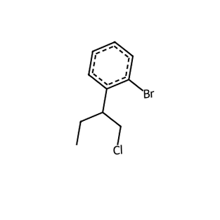 CCC(CCl)c1ccccc1Br